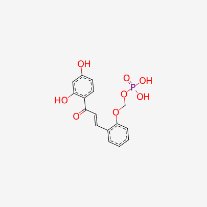 O=C(C=Cc1ccccc1OCOP(=O)(O)O)c1ccc(O)cc1O